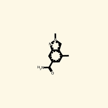 Cc1cc(C(N)=O)cc2nn(C)cc12